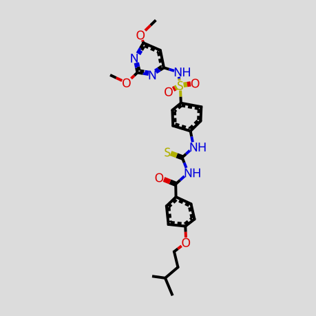 COc1cc(NS(=O)(=O)c2ccc(NC(=S)NC(=O)c3ccc(OCCC(C)C)cc3)cc2)nc(OC)n1